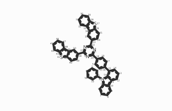 c1ccc(-n2c3ccccc3c3cccc(-c4ccc(-c5nc(-c6ccc7sc8ccccc8c7c6)nc(-c6ccc7sc8ccccc8c7c6)n5)cc4)c32)cc1